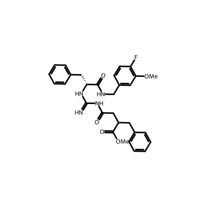 COC(=O)C(CC(=O)NC(=N)N[C@H](Cc1ccccc1)C(=O)NCc1ccc(F)c(OC)c1)Cc1ccccc1